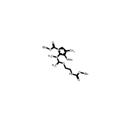 CNc1c(C)cn(C(=O)OC(C)(C)C)c1N(C)C(C)OCCNC(=O)OC(C)(C)C